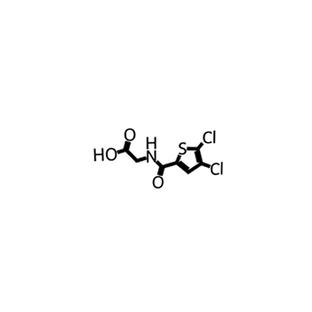 O=C(O)CNC(=O)c1cc(Cl)c(Cl)s1